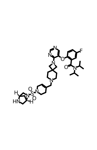 CC(C)N(C(=O)c1cc(F)ccc1Oc1cncnc1N1CC2(CCN(CC3=CCN(S(=O)(=O)N4C[C@@H]5C[C@H]4CN5)CC3)CC2)C1)C(C)C